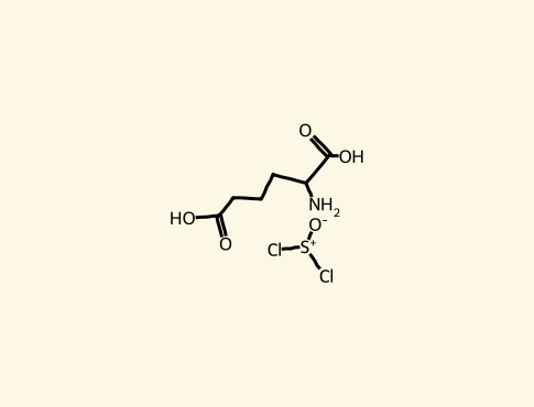 NC(CCCC(=O)O)C(=O)O.[O-][S+](Cl)Cl